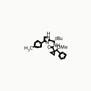 COC(c1ccccc1)C1(C(=O)N[C@H](c2nc(-c3ccc(C)cc3)c[nH]2)C(C)(C)C)CC1